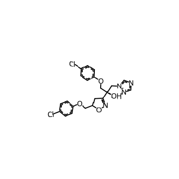 OC(COc1ccc(Cl)cc1)(Cn1cncn1)C1=NOC(COc2ccc(Cl)cc2)C1